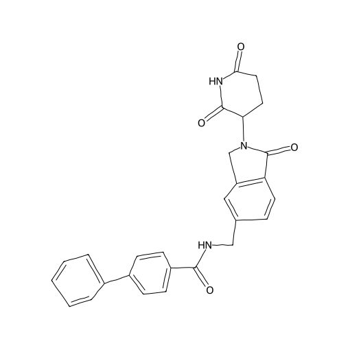 O=C1CCC(N2Cc3cc(CNC(=O)c4ccc(-c5ccccc5)cc4)ccc3C2=O)C(=O)N1